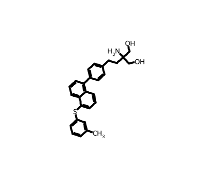 Cc1cccc(Sc2cccc3c(-c4ccc(CCC(N)(CO)CO)cc4)cccc23)c1